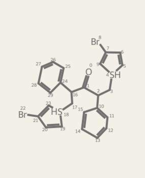 O=C(C(C[SH]1C=CC(Br)=C1)c1ccccc1)C(C[SH]1C=CC(Br)=C1)c1ccccc1